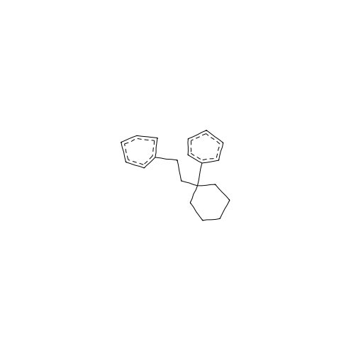 c1ccc(CCC2(c3ccccc3)CCCCC2)cc1